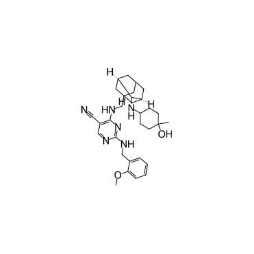 COc1ccccc1CNc1ncc(C#N)c(NCC23CC4C[C@H](C2)[C@H](NC2CCC(C)(O)CC2)[C@@H](C4)C3)n1